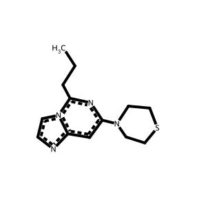 CCCc1nc(N2CCSCC2)cc2nccn12